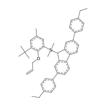 C=CCOc1c(C(C)(C)C)cc(C)cc1[Si](C)(C)C1c2cc(-c3ccc(CC)cc3)ccc2-c2ccc(-c3ccc(CC)cc3)cc21